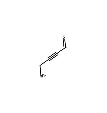 CCCCC#C[C]=S